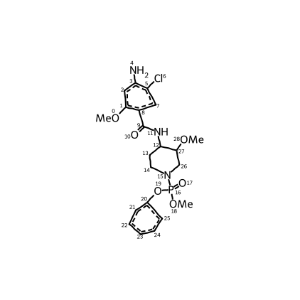 COc1cc(N)c(Cl)cc1C(=O)NC1CCN(P(=O)(OC)Oc2ccccc2)CC1OC